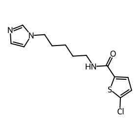 O=C(NCCCCCn1ccnc1)c1ccc(Cl)s1